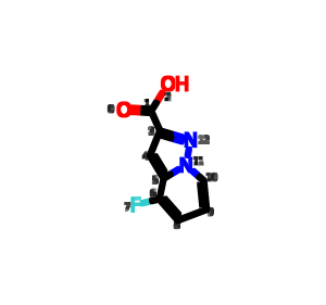 O=C(O)c1cc2c(F)cccn2n1